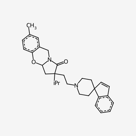 Cc1ccc2c(c1)CN1C(=O)C(CCN3CCC4(C=Cc5ccccc54)CC3)(C(C)C)CC1O2